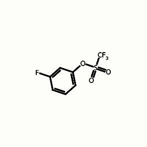 O=S(=O)(Oc1cccc(F)c1)C(F)(F)F